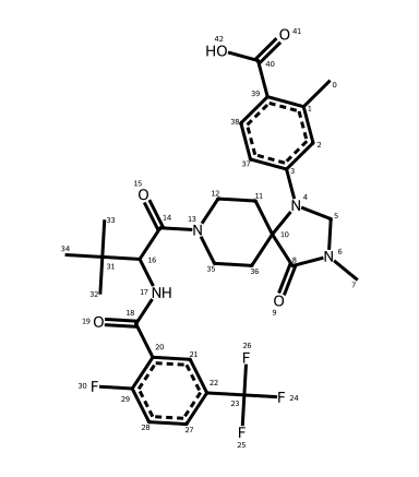 Cc1cc(N2CN(C)C(=O)C23CCN(C(=O)C(NC(=O)c2cc(C(F)(F)F)ccc2F)C(C)(C)C)CC3)ccc1C(=O)O